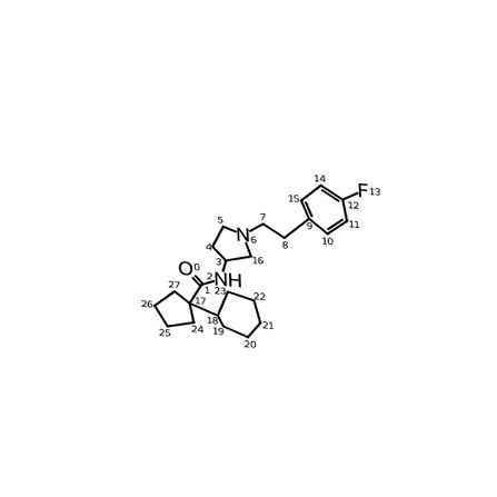 O=C(NC1CCN(CCc2ccc(F)cc2)C1)C1(C2CCCCC2)CCCC1